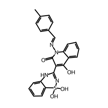 Cc1ccc(C=Nn2c(=O)c(C3=NS(O)(O)c4ccccc4N3)c(O)c3ccccc32)cc1